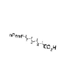 [CH2]CCCCCCCCC[CH]CC(=O)O